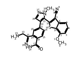 COc1cccc2c(C#N)c(-c3c(-c4ccc5c(=O)[nH]nc(CN)c5c4)cnn3C)sc12